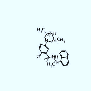 C[C@@H]1CN(c2ccc(Cl)c(C(=O)N[C@H](C)c3cccc4ccccc34)c2)C[C@H](C)N1